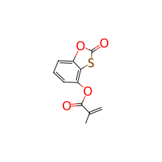 C=C(C)C(=O)Oc1cccc2oc(=O)sc12